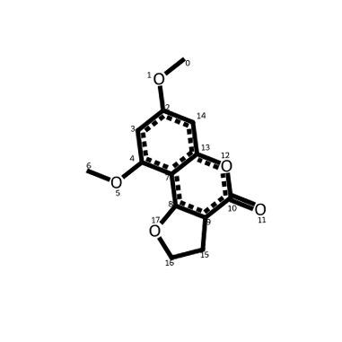 COc1cc(OC)c2c3c(c(=O)oc2c1)CCO3